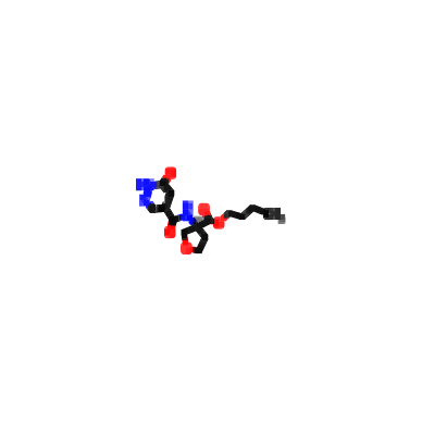 CCCCOC(=O)[C@]1(NC(=O)c2cn[nH]c(=O)c2)CCOC1